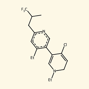 CCc1cc(CC(C)C(F)(F)F)ncc1C1=CN(CC)CC=C1Cl